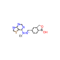 CCN(/N=C/c1ccc2c(c1)COB2O)c1ncnc2ncsc12